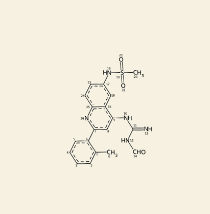 Cc1ccccc1-c1cc(NC(=N)NC=O)c2cc(NS(C)(=O)=O)ccc2n1